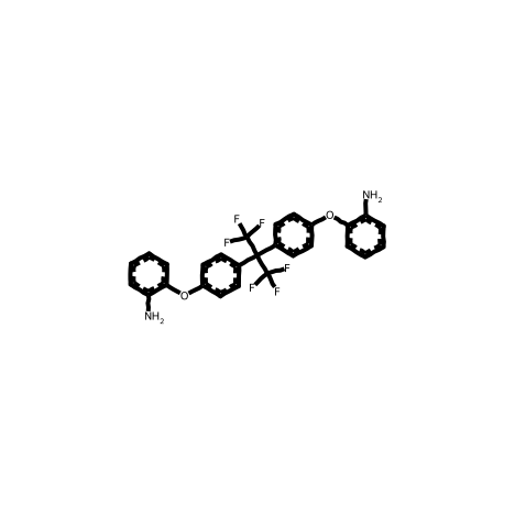 Nc1ccccc1Oc1ccc(C(c2ccc(Oc3ccccc3N)cc2)(C(F)(F)F)C(F)(F)F)cc1